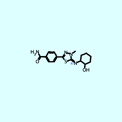 Cn1nc(-c2ccc(C(N)=O)cc2)s/c1=N/C1CCCCC1O